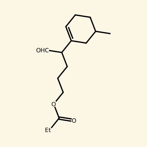 CCC(=O)OCCCC(C=O)C1=CCCC(C)C1